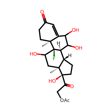 CC(=O)OCC(=O)[C@@]1(O)CC[C@H]2[C@@H]3C(O)C(O)C4=CC(=O)CC[C@]4(C)[C@@]3(F)C(O)C[C@@]21C